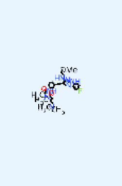 COCCNc1nc(Nc2ccc(F)cc2)ncc1C#C[C@@H]1CCC[C@H](NC(=O)[C@H](C)N(C)C(=O)/C=C/CN(C)C)C1